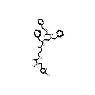 CC(C)c1nc(CN(C)C(=O)NCCC(=O)N[C@H](CC[C@H](Cc2ccccc2)NC(=O)OCC2=CNCS2)Cc2ccccc2)cs1